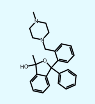 CN1CCN(Cc2ccccc2C2(c3ccccc3)OC(C)(O)c3ccccc32)CC1